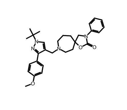 COc1ccc(-c2nn(C(C)(C)C)cc2CN2CCCC3(CC2)CN(c2ccccc2)C(=O)O3)cc1